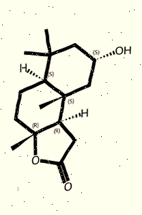 CC1(C)C[C@H](O)C[C@]2(C)[C@H]3CC(=O)O[C@]3(C)CC[C@@H]12